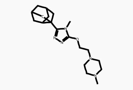 CN1CCN(CCOc2nnc(C34CC5CC(CC3C5)C4)n2C)CC1